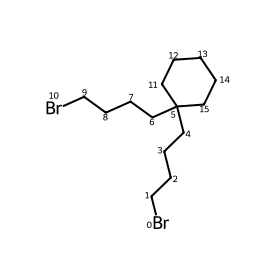 BrCCCCC1(CCCCBr)CCCCC1